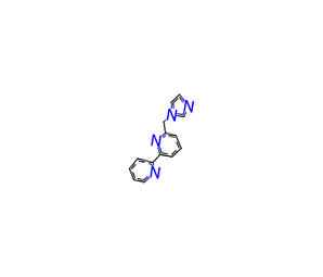 c1ccc(-c2cccc(Cn3ccnc3)n2)nc1